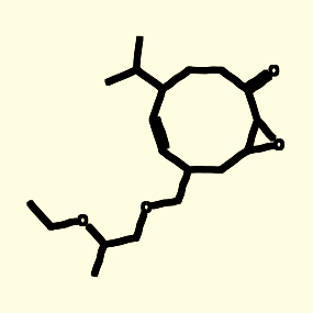 CCOC(C)COCC1C=CC(C(C)C)CCC(=O)C2OC2C1